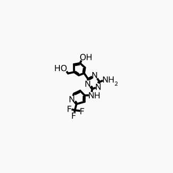 Nc1nc(Nc2ccnc(C(F)(F)F)c2)nc(-c2cc(O)cc(CO)c2)n1